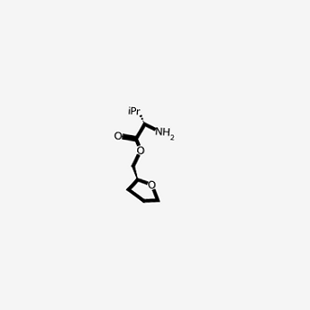 CC(C)[C@H](N)C(=O)OC[C@@H]1CCCO1